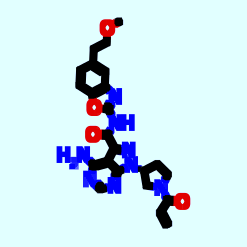 C=CC(=O)N1CC[C@@H](n2nc(C(=O)Nc3nc4cc(CCOC)ccc4o3)c3c(N)ncnc32)C1